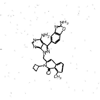 Cc1cccc2cc(Cn3nc(-c4ccc5oc(N)nc5c4)c4c(N)ncnc43)n(C3CCC3)c(=O)c12